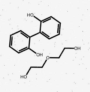 OCCOCCO.Oc1ccccc1-c1ccccc1O